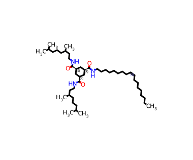 CCCCCCCC/C=C\CCCCCCCCNC(=O)[C@H]1C[C@@H](C(=O)NCCC(C)CCCC(C)C)C[C@@H](C(=O)NCCC(C)CCCC(C)C)C1